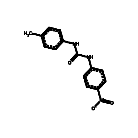 Cc1ccc(NC(=O)Nc2ccc([N+](=O)[O-])cc2)cc1